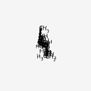 C/C=C/C=C/c1cc2cc3c(c(O)c2c(=O)[nH]1)[C@@]1(CC3)C(=O)c2c(O)c3c(c(O)c2C1=O)C(=O)C(OCCNC(=O)OC(C)(C)C)=CC3=O